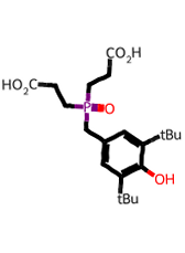 CC(C)(C)c1cc(CP(=O)(CCC(=O)O)CCC(=O)O)cc(C(C)(C)C)c1O